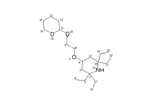 CCC1(CC)CC(OCCOC2CCCCO2)CC(CC)(CC)N1